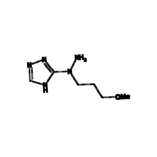 COCCCN(N)c1nnc[nH]1